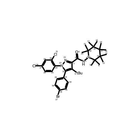 CC(C)(C)c1c(C(=O)NN2C(C)(C)C(C)(C)C(C)(C)C(C)(C)C2(C)C)nn(-c2ccc(Cl)cc2Cl)c1-c1ccc(Br)cc1